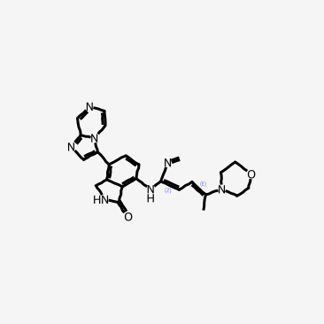 C=N/C(=C\C=C(/C)N1CCOCC1)Nc1ccc(-c2cnc3cnccn23)c2c1C(=O)NC2